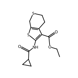 CCOC(=O)c1c(NC(=O)C2CC2)sc2c1CCSC2